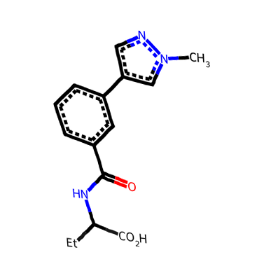 CCC(NC(=O)c1cccc(-c2cnn(C)c2)c1)C(=O)O